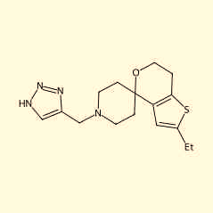 CCc1cc2c(s1)CCOC21CCN(Cc2c[nH]nn2)CC1